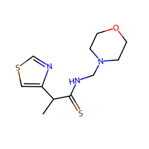 CC(C(=S)NCN1CCOCC1)c1cscn1